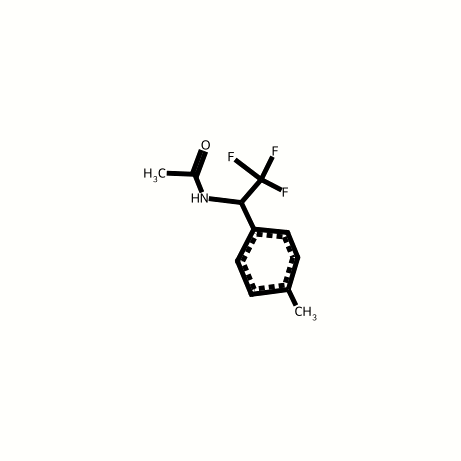 CC(=O)NC(c1ccc(C)cc1)C(F)(F)F